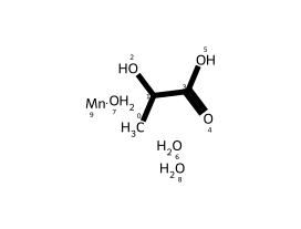 CC(O)C(=O)O.O.O.O.[Mn]